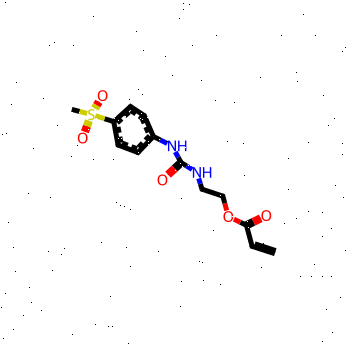 C=CC(=O)OCCNC(=O)Nc1ccc(S(C)(=O)=O)cc1